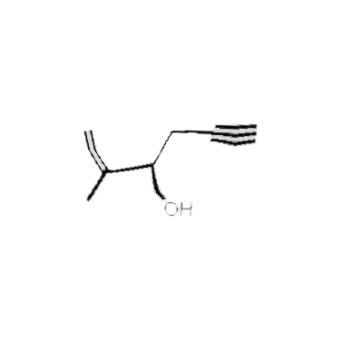 C#CCC(O)C(=C)C